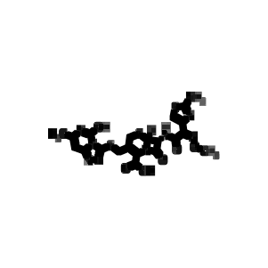 CO/N=C(\C(=O)N[C@@H]1C(=O)N2C(C(=O)O)=C(CSc3nnc4cc(C)nc(O)n34)CS[C@H]12)c1csc(N)n1